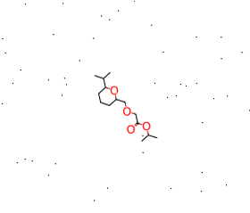 CC(C)OC(=O)COCC1CCCC(C(C)C)O1